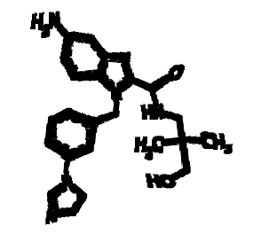 CC(C)(CO)CNC(=O)c1cc2cc(N)ccc2n1Cc1cccc(-n2ccnc2)c1